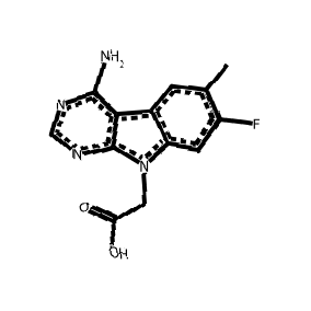 Cc1cc2c3c(N)ncnc3n(CC(=O)O)c2cc1F